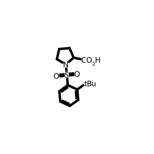 CC(C)(C)c1ccccc1S(=O)(=O)N1CCCC1C(=O)O